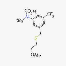 COCCSCc1cc(N(C(=O)O)C(C)(C)C)cc(C(F)(F)F)c1